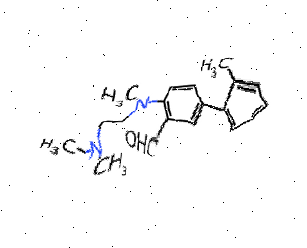 Cc1ccccc1-c1ccc(N(C)CCN(C)C)c(C=O)c1